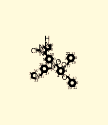 O=C(c1ccc(OCc2ccccc2)cc1OCc1ccccc1)N(Cc1cccc(CN2CCCC2)c1)c1ccc(-c2nc(Cl)nc3[nH]ccc23)cc1